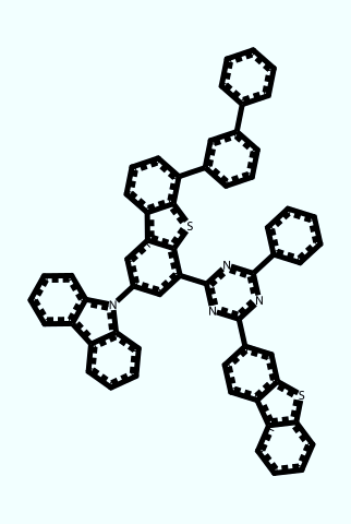 c1ccc(-c2cccc(-c3cccc4c3sc3c(-c5nc(-c6ccccc6)nc(-c6ccc7c(c6)sc6ccccc67)n5)cc(-n5c6ccccc6c6ccccc65)cc34)c2)cc1